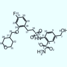 NS(=O)(=O)c1cc(CO)ccc1NS(=O)(=O)CCc1ccc(F)cc1OCC1CCOCC1